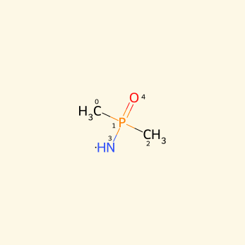 CP(C)([NH])=O